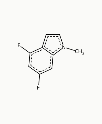 Cn1ccc2c(F)cc(F)cc21